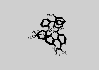 COc1ccc(OC(C)(C)C)c([PH][Pd-2]([c]2ccccc2-c2ccccc2N)([CH]2CCCCC2)[CH]2CCCCC2)c1-c1c(C(C)C)cccc1C(C)C